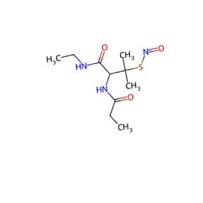 CCNC(=O)C(NC(=O)CC)C(C)(C)SN=O